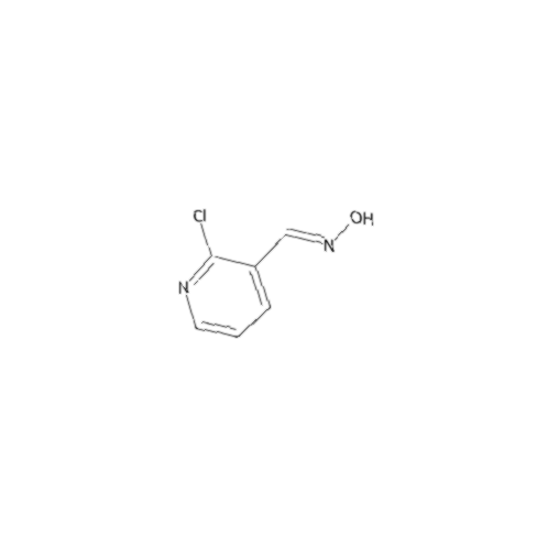 O/N=C/c1cccnc1Cl